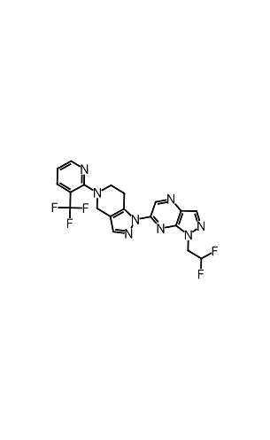 FC(F)Cn1ncc2ncc(-n3ncc4c3CCN(c3ncccc3C(F)(F)F)C4)nc21